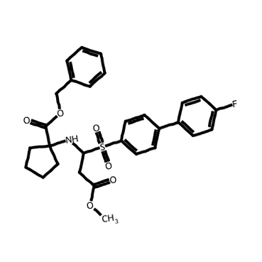 COC(=O)CC(NC1(C(=O)OCc2ccccc2)CCCC1)S(=O)(=O)c1ccc(-c2ccc(F)cc2)cc1